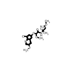 CO/N=C/C(C)(C)NC(=O)C(OC)Oc1cc(Cl)c2ncc(SC)cc2c1